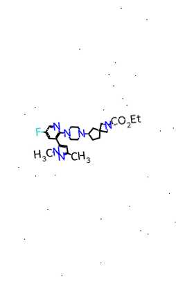 CCOC(=O)N1CC2(CC[C@@H](N3CCN(c4ncc(F)cc4-c4cc(C)nn4C)CC3)C2)C1